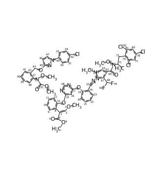 CO/C=C(/C(=O)OC)c1ccccc1Oc1cc(Oc2ccccc2C#N)ncn1.COC(=O)N(OC)c1ccccc1COc1ccn(-c2ccc(Cl)cc2)n1.CON(C(=O)c1cn(C)nc1C(F)F)C(C)Cc1c(Cl)cc(Cl)cc1Cl